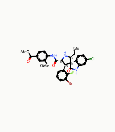 COC(=O)c1ccc(NC(=O)[C@@H]2N[C@@H](CC(C)(C)C)[C@@]3(C(=O)Nc4cc(Cl)ccc43)[C@H]2c2cccc(Br)c2F)c(OC)c1